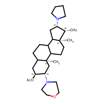 CC(=O)O[C@H]1CC2CCC3C(CC[C@@]4(C)C3C[C@H](N3CCCC3)[C@@H]4OC(C)=O)[C@@]2(C)C[C@@H]1N1CCOCC1